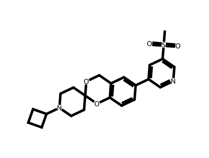 CS(=O)(=O)c1cncc(-c2ccc3c(c2)COC2(CCN(C4CCC4)CC2)O3)c1